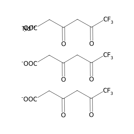 O=C([O-])CC(=O)CC(=O)C(F)(F)F.O=C([O-])CC(=O)CC(=O)C(F)(F)F.O=C([O-])CC(=O)CC(=O)C(F)(F)F.[Nd+3]